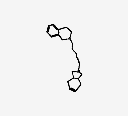 C1=CCC2CN(CCCCCN3CCc4ccccc4C3)CC2C1